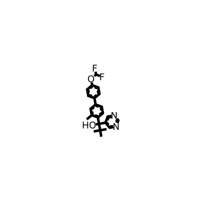 Cc1cc(-c2ccc(OC(F)F)cc2)ccc1C(O)(c1cncnc1)C(C)(C)C